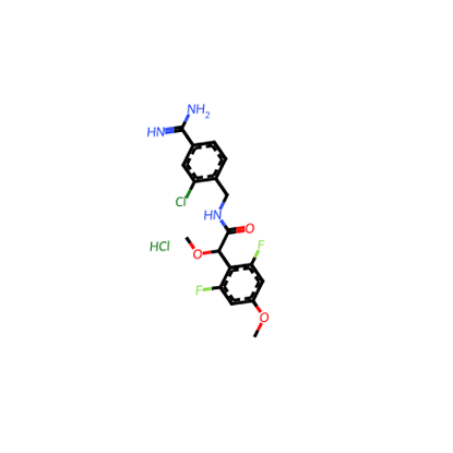 COc1cc(F)c(C(OC)C(=O)NCc2ccc(C(=N)N)cc2Cl)c(F)c1.Cl